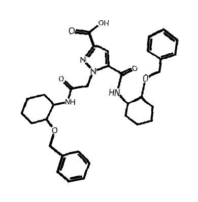 O=C(Cn1nc(C(=O)O)cc1C(=O)NC1CCCCC1OCc1ccccc1)NC1CCCCC1OCc1ccccc1